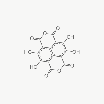 O=C1OC(=O)c2c(O)c(O)c3c4c(c(O)c(O)c1c24)C(=O)OC3=O